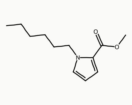 CCCCCCn1cccc1C(=O)OC